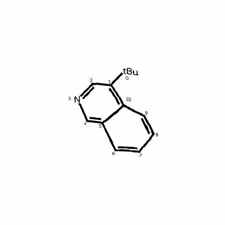 CC(C)(C)c1[c]ncc2ccccc12